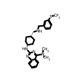 CN(C)c1nc(N[C@H]2CC[C@@H](CNCc3cccc(SC(F)(F)F)c3)CC2)nc2ccccc12